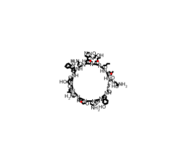 CCCC[C@H]1C(=O)N(C)[C@@H](CCCC)C(=O)N[C@@H](CC(C)C)C(=O)N[C@H](C(=O)NCC(N)=O)CSCC(=O)N[C@@H](Cc2ccc(O)cc2)C(=O)N(C)[C@@H](C)C(=O)N[C@@H](CC(N)=O)C(=O)N2CCC[C@H]2C(=O)N[C@@H](CN)C(=O)N[C@@H](CC(C)C)C(=O)N2C[C@H](O)C[C@H]2C(=O)N[C@@H](Cc2c[nH]c3ccccc23)C(=O)N[C@@H](CCN)C(=O)NC(Cc2cn(CC(=O)O)c3ncncc23)C(=O)N1C